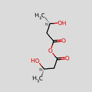 C[C@H](O)CC(=O)OC(=O)C[C@H](C)O